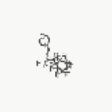 CN(CCN1CCOCC1)C(=O)C1(F)C(F)(F)C(F)(F)C(F)(F)C(F)(F)C1(F)F